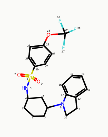 O=S(=O)(NC1CCCC(N2CCc3ccccc32)C1)c1ccc(OC(F)(F)F)cc1